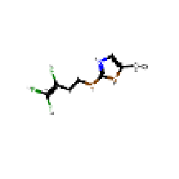 O=Cc1cnc(SCCC(F)=C(F)F)s1